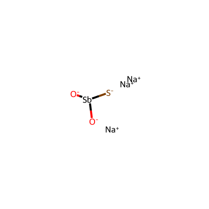 [Na+].[Na+].[Na+].[O-][Sb]([O-])[S-]